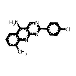 Cc1cccc2c(N)c3cnc(-c4ccc(Cl)cc4)nc3nc12